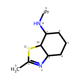 CC1=NC2CCCC(NC(C)C)C2S1